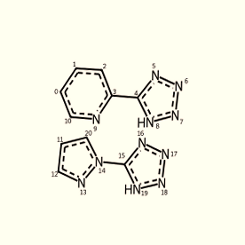 c1ccc(-c2nnn[nH]2)nc1.c1cnn(-c2nnn[nH]2)c1